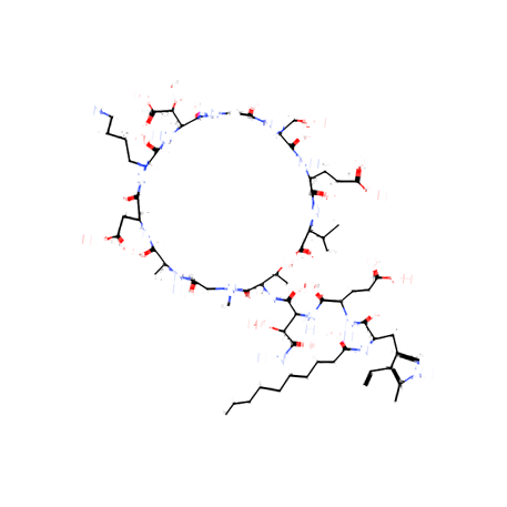 C=Cc1c(CC(NC(=O)CCCCCCCCC)C(=O)NC(CCC(=O)O)C(=O)NC(C(=O)NC2C(=O)N(C)CC(=O)NC(C)C(=O)NC(CC(=O)O)C(=O)NC(CCCCN)C(=O)NC(C(OC)C(=O)O)C(=O)NCC(=O)NC(CO)C(=O)NC(CCC(=O)O)C(=O)NC(C(C)C)C(=O)OC2C)C(O)C(N)=O)c[nH]c1C